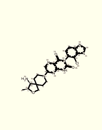 C[C@@H]1OCC2(CCN(c3cnc4c(=O)n(-c5ccc6ncsc6c5Cl)c(=O)[nH]c4n3)CC2)[C@@H]1N